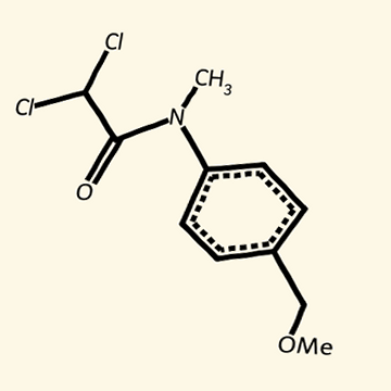 COCc1ccc(N(C)C(=O)C(Cl)Cl)cc1